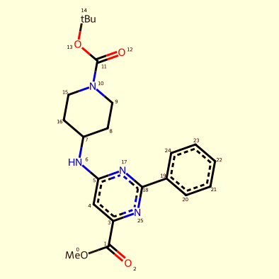 COC(=O)c1cc(NC2CCN(C(=O)OC(C)(C)C)CC2)nc(-c2ccccc2)n1